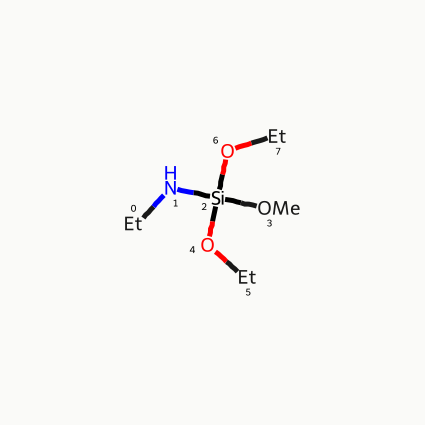 CCN[Si](OC)(OCC)OCC